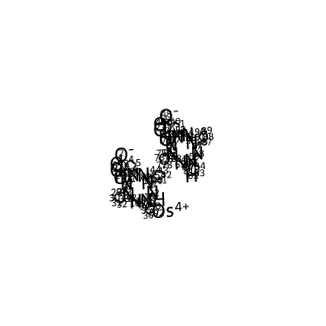 O=C([O-])c1ccc2c3nc4nc(nc5[nH]c(nc6nc(nc([nH]3)c2c1C(=O)[O-])-c1ccccc1-6)c1ccccc51)-c1ccccc1-4.O=C([O-])c1ccc2c3nc4nc(nc5[nH]c(nc6nc(nc([nH]3)c2c1C(=O)[O-])-c1ccccc1-6)c1ccccc51)-c1ccccc1-4.[Os+4]